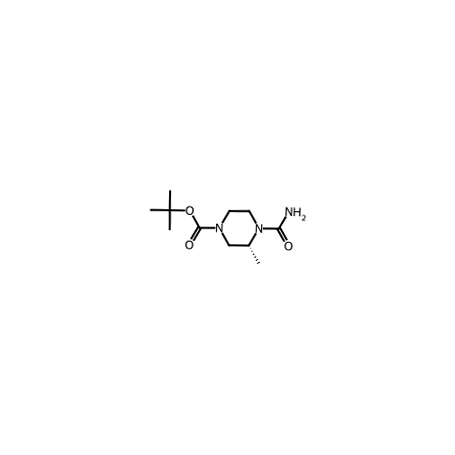 C[C@@H]1CN(C(=O)OC(C)(C)C)CCN1C(N)=O